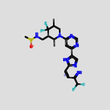 CC1C(CN[S+](C)[O-])C(F)(F)C(C)CN1c1cc(-c2cnc(/C=C\C(=N)C(F)F)[nH]2)ncn1